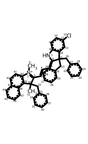 C[N+]1=C(C=CC=C2Nc3ccc(Cl)cc3C2(Cc2ccccc2)Cc2ccccc2)C(C)(Cc2ccccc2)c2c1ccc1ccccc21